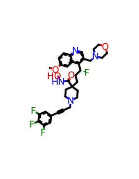 COc1ccc2ncc(CN3CCOCC3)c([C@H](F)CCC3(C(=O)NO)CCN(CC#Cc4cc(F)c(F)c(F)c4)CC3)c2c1